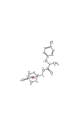 CC(Oc1ccc(Cl)cc1)C(=O)OCC12COP(=O)(OC1)OC2